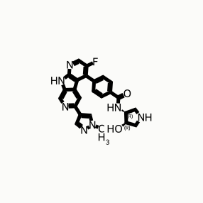 Cn1cc(-c2cc3c(cn2)[nH]c2ncc(F)c(-c4ccc(C(=O)N[C@@H]5CNC[C@H]5O)cc4)c23)cn1